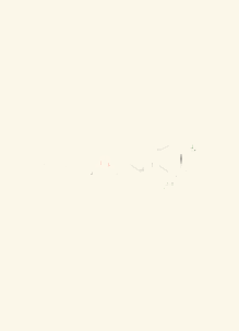 [CH2]CCCCOCC=Cc1ccc(Cl)cc1Cl